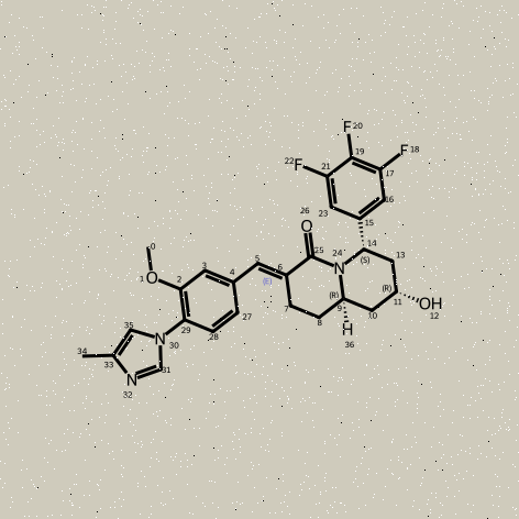 COc1cc(/C=C2\CC[C@@H]3C[C@@H](O)C[C@@H](c4cc(F)c(F)c(F)c4)N3C2=O)ccc1-n1cnc(C)c1